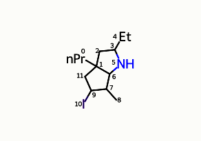 CCCC12CC(CC)NC1C(C)C(I)C2